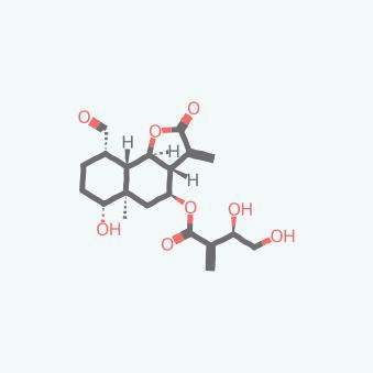 C=C1C(=O)O[C@H]2[C@H]1[C@@H](OC(=O)C(=C)[C@@H](O)CO)C[C@]1(C)[C@@H]2[C@@H](C=O)CC[C@H]1O